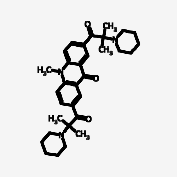 Cn1c2ccc(C(=O)C(C)(C)N3CCCCC3)cc2c(=O)c2cc(C(=O)C(C)(C)N3CCCCC3)ccc21